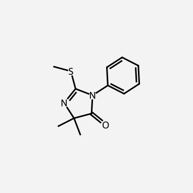 CSC1=NC(C)(C)C(=O)N1c1ccccc1